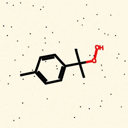 Cc1ccc(C(C)(C)OO)cc1